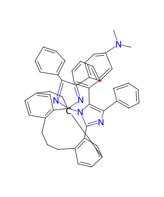 CN(C)c1ccc(C2=NC3(N=C2c2ccccc2)c2cc4ccc2CCCc2ccc(cc2-c2nc(-c5ccccc5)c(-c5ccccc5)n23)CCC4)cc1